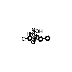 O=C(O)C1Nc2cc(Cl)cc(Cl)c2S(=O)(=O)N1Cc1cccc(-c2ccccc2)c1